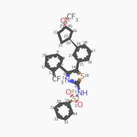 O=S(=O)(Nc1nc(-c2ccccc2C(F)(F)F)c(-c2cccc([C@H]3CC[C@@H](OC(F)(F)F)C3)c2)s1)c1ccccc1